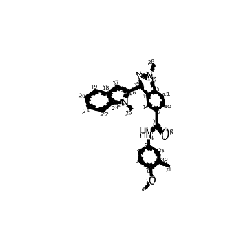 COc1ccc(NC(=O)c2ccc3c(c2)c(-c2cc4ccccc4n2C)nn3C)cc1C